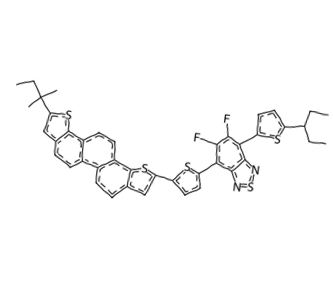 CCC(CC)c1ccc(-c2c(F)c(F)c(-c3ccc(-c4cc5ccc6c7ccc8cc(C(C)(C)CC)sc8c7ccc6c5s4)s3)c3nsnc23)s1